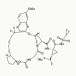 COc1ccc2nc3c(nc2c1)O[C@@H]1C[C@@H](C(=O)N[C@]2(C(=O)NS(=O)(=O)C4CC4)C[C@H]2C(F)F)N(C1)C(=O)[C@H](C(C)(C)C)NC(=O)O[C@@H]1CCC[C@H]1CCCCC3(F)F